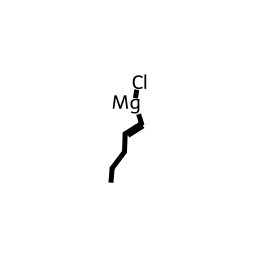 CCCC=[CH][Mg][Cl]